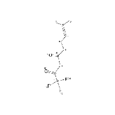 CC(C)=CCCC(=O)CC(=O)C(F)(F)F